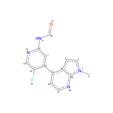 Cn1ccc2c(-c3cc(NC=O)ncc3F)ccnc21